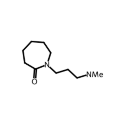 CNCCCN1CCCCCC1=O